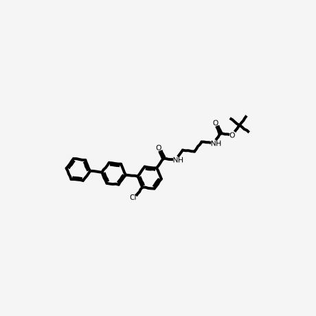 CC(C)(C)OC(=O)NCCCNC(=O)c1ccc(Cl)c(-c2ccc(-c3ccccc3)cc2)c1